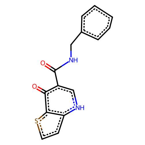 O=C(NCc1ccccc1)c1c[nH]c2ccsc2c1=O